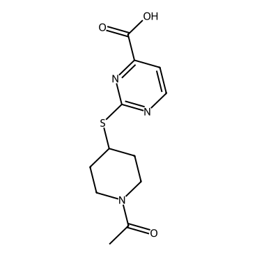 CC(=O)N1CCC(Sc2nccc(C(=O)O)n2)CC1